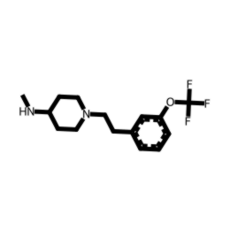 CNC1CCN(CCc2cccc(OC(F)(F)F)c2)CC1